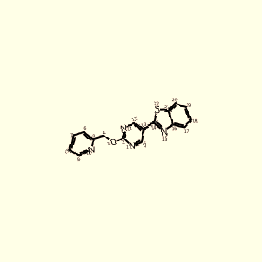 [c]1nc(OCc2ccccn2)ncc1-c1nc2ccccc2s1